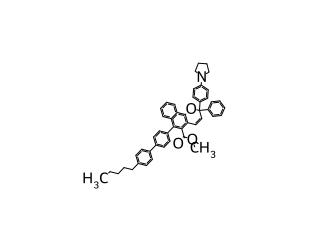 CCCCCc1ccc(-c2ccc(-c3c(C(=O)OC)c4c(c5ccccc35)OC(c3ccccc3)(c3ccc(N5CCCC5)cc3)C=C4)cc2)cc1